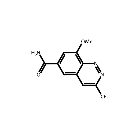 COc1cc(C(N)=O)cc2cc(C(F)(F)F)nnc12